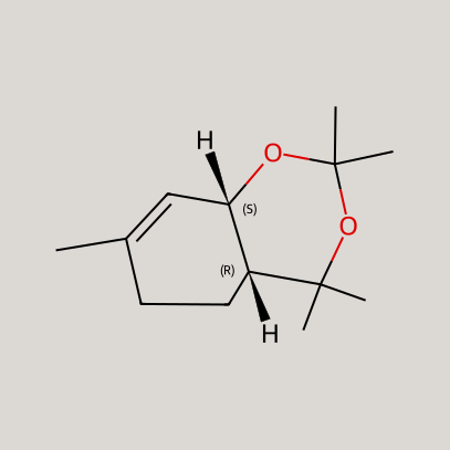 CC1=C[C@@H]2OC(C)(C)OC(C)(C)[C@@H]2CC1